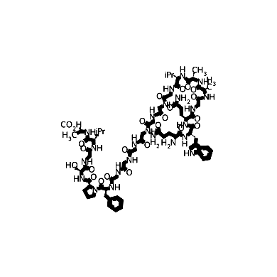 CC(C)C[C@H](NC(=O)CNC(=O)[C@H](CO)NC(=O)[C@@H]1CCCN1C(=O)[C@H](Cc1ccccc1)NC(=O)CNC(=O)CNC(=O)CNC(=O)CNC(=O)CNC(=O)CNC(=O)CNC(=O)[C@@H](NC(=O)[C@H](C)NC(=O)[C@H](C)NC(=O)CNC(=O)[C@H](CCC(N)=O)NC(=O)[C@H](Cc1c[nH]c2ccccc12)NC(=O)[C@@H](N)CCC(N)=O)C(C)C)C(=O)N[C@@H](C)C(=O)O